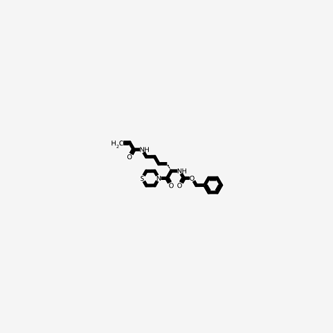 C=CC(=O)NCCCC[C@H](NC(=O)OCc1ccccc1)C(=O)N1CCSCC1